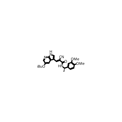 COc1ccc([C@@H](C)NC(=O)/C(C#N)=C/c2c[nH]c3ncc(OCC(C)C)cc23)cc1OC